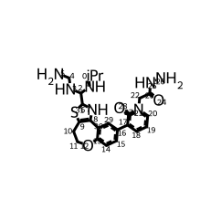 CC(C)NC(NCN)C1NC2=C(CCOc3ccc(-c4cccn(CC(=O)NN)c4=O)cc32)S1